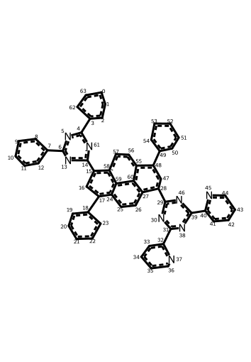 c1ccc(-c2nc(-c3ccccc3)nc(-c3cc(-c4ccccc4)c4ccc5c(-c6nc(-c7ccccn7)nc(-c7ccccn7)n6)cc(-c6ccccc6)c6ccc3c4c65)n2)cc1